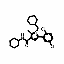 Cc1c(C(=O)NC2CCCCC2)cc(-c2cc(Cl)ccc2Cl)n1CC1CCCCC1